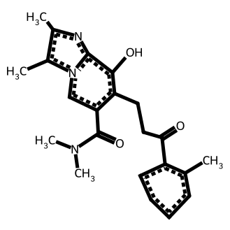 Cc1ccccc1C(=O)CCc1c(C(=O)N(C)C)cn2c(C)c(C)nc2c1O